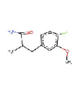 COc1cc(CC(C)C(N)=O)ccc1F